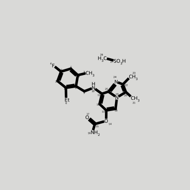 CCc1cc(F)cc(C)c1CNc1cc(OC(N)=O)cn2c(C)c(C)nc12.CS(=O)(=O)O